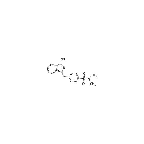 CN(C)S(=O)(=O)c1ccc(Cn2nc(N)c3ccccc32)cc1